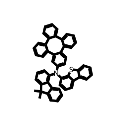 CC1(C)c2ccccc2-c2c(N(c3ccc4c(c3)-c3ccccc3-c3ccccc3-c3ccccc3-4)c3cccc4c3sc3ccccc34)cccc21